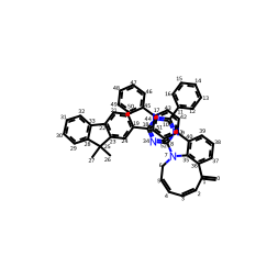 C=C1/C=C\C=C/CN(c2nc(-c3ccccc3)nc(-c3ccc4c(c3)C(C)(C)c3ccccc3-4)n2)c2c1cccc2-c1ccc(-c2ccccc2)cc1